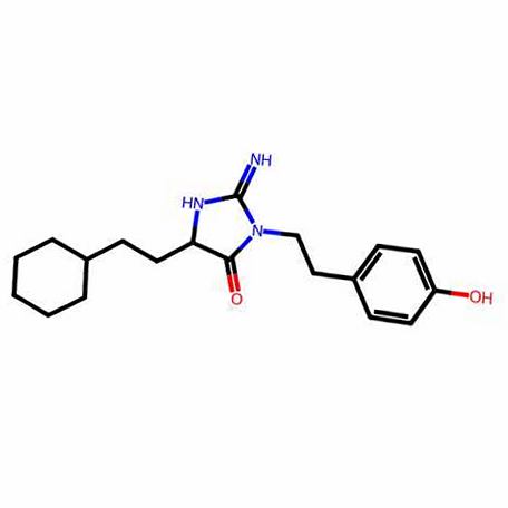 N=C1NC(CCC2CCCCC2)C(=O)N1CCc1ccc(O)cc1